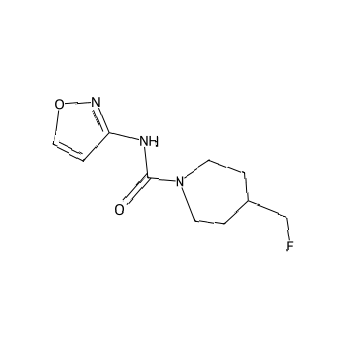 O=C(Nc1ccon1)N1CCC(CF)CC1